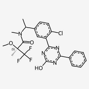 CO[C@@](C)(C(=O)N(C)C(C)c1ccc(Cl)c(-c2nc(O)nc(-c3ccccc3)n2)c1)C(F)(F)F